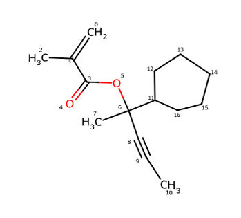 C=C(C)C(=O)OC(C)(C#CC)C1CCCCC1